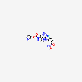 CONC(=O)c1cc(Nc2ncnn3cc(NC(=O)OCc4cccnc4)c(C(C)C)c23)c(F)cc1F